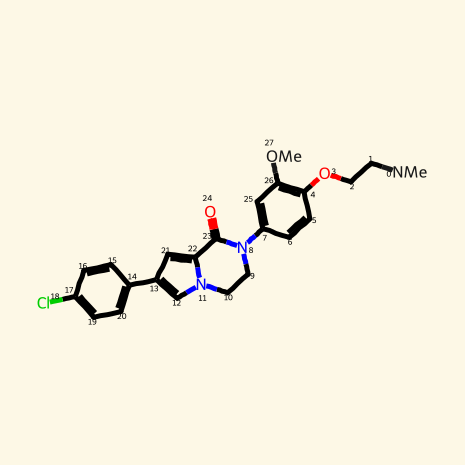 CNCCOc1ccc(N2CCn3cc(-c4ccc(Cl)cc4)cc3C2=O)cc1OC